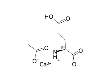 CC(=O)[O-].N[C@@H](CCC(=O)O)C(=O)[O-].[Ca+2]